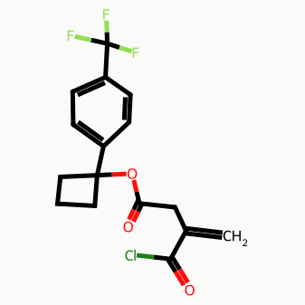 C=C(CC(=O)OC1(c2ccc(C(F)(F)F)cc2)CCC1)C(=O)Cl